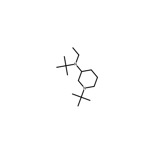 CCN(C1CCCN(C(C)(C)C)C1)C(C)(C)C